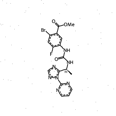 COC(=O)c1cc(NC(=O)N[C@@H](C)c2ncnn2-c2ncccn2)c(F)cc1Br